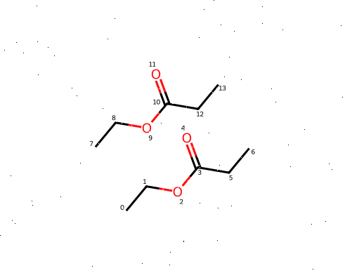 CCOC(=O)CC.CCOC(=O)CC